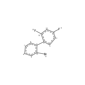 Fc1ccc(-c2ccc[c]c2Br)c(F)c1